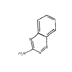 Nc1nnc2ccccc2n1